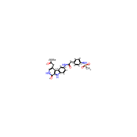 CNC(=O)Cc1c[nH]c(=O)c2[nH]c3ccc(NC(=O)Cc4ccc(NS(C)(=O)=O)cc4)cc3c12